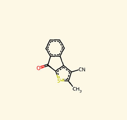 Cc1sc2c(c1C#N)-c1ccccc1C2=O